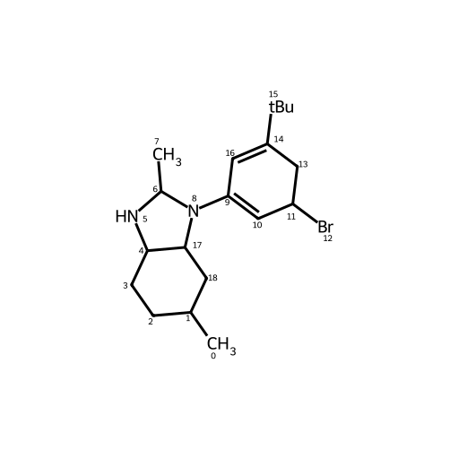 CC1CCC2NC(C)N(C3=CC(Br)CC(C(C)(C)C)=C3)C2C1